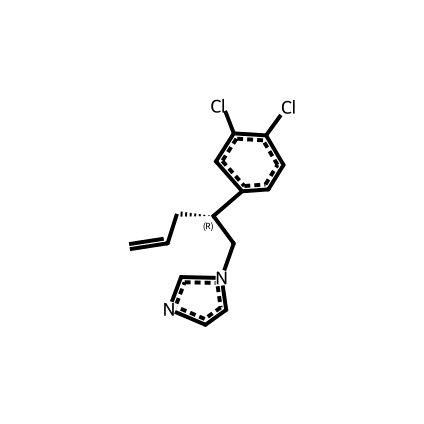 C=CC[C@@H](Cn1ccnc1)c1ccc(Cl)c(Cl)c1